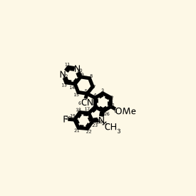 COc1ccc(C2(C#N)CCc3ncncc3C2)c2c3cc(F)ccc3n(C)c12